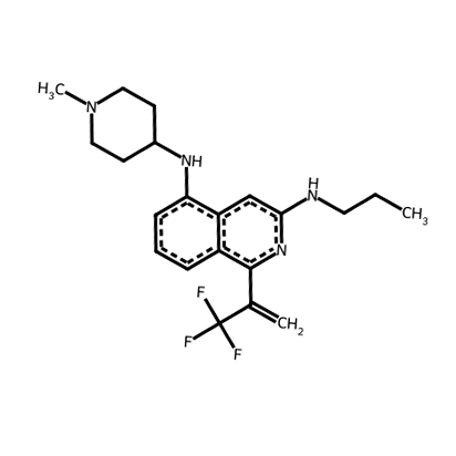 C=C(c1nc(NCCC)cc2c(NC3CCN(C)CC3)cccc12)C(F)(F)F